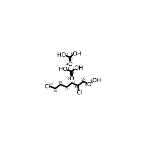 O=C(O)O.O=C(O)O.OOCC(Cl)CCCCCl